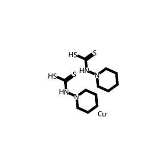 S=C(S)NN1CCCCC1.S=C(S)NN1CCCCC1.[Cu]